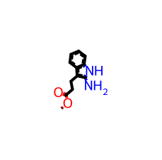 COC(=O)CCc1c(N)[nH]c2ccccc12